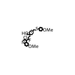 COc1ccc(SCCN2CCC(CO)(CC[C@@H](F)c3c(Cl)cnc4ccc(OC)cc34)CC2)cc1